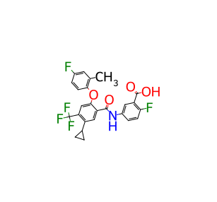 Cc1cc(F)ccc1Oc1cc(C(F)(F)F)c(C2CC2)cc1C(=O)Nc1ccc(F)c(C(=O)O)c1